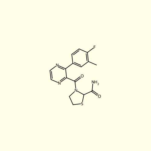 Cc1cc(-c2nccnc2C(=O)N2CCSC2C(N)=O)ccc1F